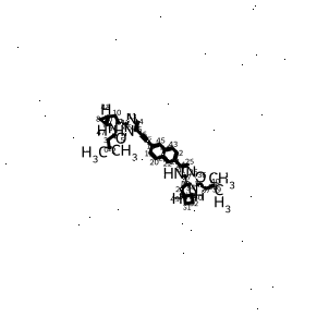 CC(C)CC(=O)N1[C@@H]2C[C@@H]2C[C@H]1c1ncc(C#Cc2ccc3cc(-c4cnc([C@@H]5C[C@H]6CC[C@H]6N5C(=O)CC(C)C)[nH]4)ccc3c2)[nH]1